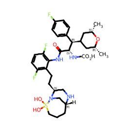 C[C@@H]1CC([C@H](c2ccc(F)cc2)[C@H](NC(=O)O)C(=O)Nc2c(F)ccc(F)c2CC[C@H]2CN[C@@H]3CCCS(O)(O)N2C3)C[C@H](C)O1